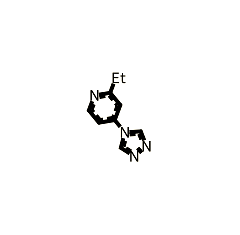 CCc1cc(-n2cnnc2)ccn1